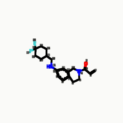 C=CC(=O)N1CCc2ccc(NCC3CCC(F)(F)CC3)cc2C1